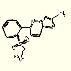 CCS(=O)(=O)c1ccccc1-c1ccc2nc(C)cn2n1